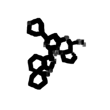 C[C@H](Oc1cc(C2=CCOCC2)nc(-c2noc3c2CCC[C@@]32CCCCC2=O)n1)[C@@H]1CCCN1C